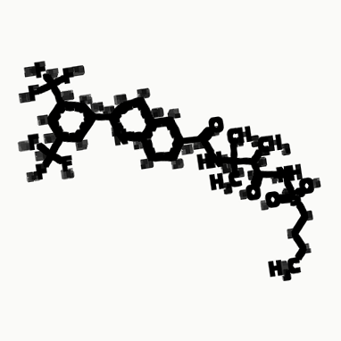 CCCCS(=O)(=O)NC(=O)C(C)C(C)(C)NC(=O)c1ccc2nc(-c3cc(C(F)(F)F)cc(C(F)(F)F)c3)ccc2c1